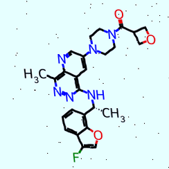 Cc1nnc(N[C@H](C)c2cccc3c(F)coc23)c2cc(N3CCN(C(=O)C4COC4)CC3)cnc12